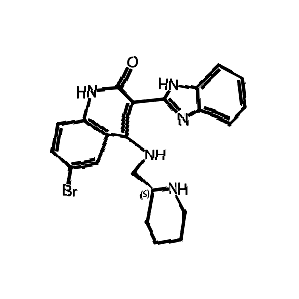 O=c1[nH]c2ccc(Br)cc2c(NC[C@@H]2CCCCN2)c1-c1nc2ccccc2[nH]1